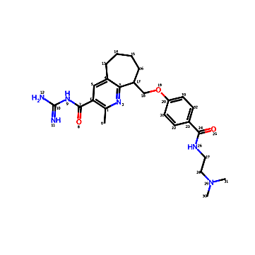 Cc1nc2c(cc1C(=O)NC(=N)N)CCCCC2COc1ccc(C(=O)NCCN(C)C)cc1